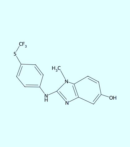 Cn1c(Nc2ccc(SC(F)(F)F)cc2)nc2cc(O)ccc21